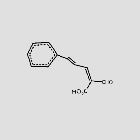 O=CC(=CC=Cc1ccccc1)C(=O)O